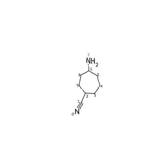 N#CC1CCCC(N)CC1